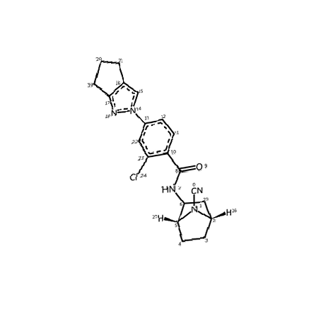 N#CN1[C@H]2CC[C@@H]1C(NC(=O)c1ccc(-n3cc4c(n3)CCC4)cc1Cl)C2